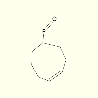 O=PC1CCC=CCCC1